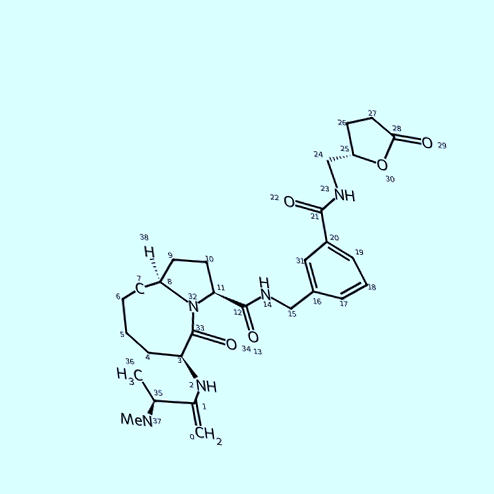 C=C(N[C@H]1CCCC[C@H]2CC[C@@H](C(=O)NCc3cccc(C(=O)NC[C@@H]4CCC(=O)O4)c3)N2C1=O)[C@H](C)NC